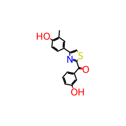 Cc1cc(-c2csc(C(=O)c3cccc(O)c3)n2)ccc1O